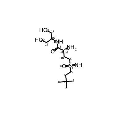 CC(C)(C)CCS(=N)(=O)CC[C@H](N)C(=O)NC(CO)CO